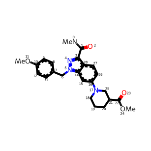 CNC(=O)c1nn(Cc2ccc(OC)cc2)c2cc(N3CCCC(C(=O)OC)C3)ccc12